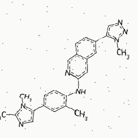 Cc1cc(-c2cnc(C)n2C)ccc1Nc1cc2cc(-c3cnnn3C)ccc2cn1